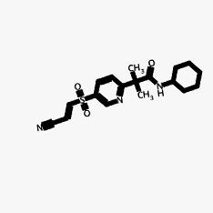 CC(C)(C(=O)NC1CCCCC1)c1ccc(S(=O)(=O)C=CC#N)cn1